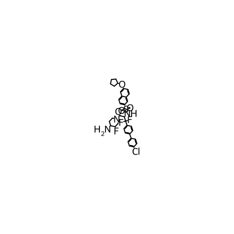 N[C@H]1CCN(C(=O)[C@H](NS(=O)(=O)c2ccc3cc(OC4CCCC4)ccc3c2)C(F)(F)c2ccc(-c3ccc(Cl)cc3)cc2)C[C@@H]1F